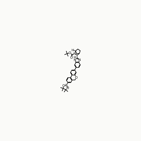 CC(C)(C)OC(=O)N1[C@@H]2CCC(C2)[C@H]1c1nc2ccc(-c3ccc4c(c3)OCc3cc(B5OC(C)(C)C(C)(C)O5)ccc3-4)cc2[nH]1